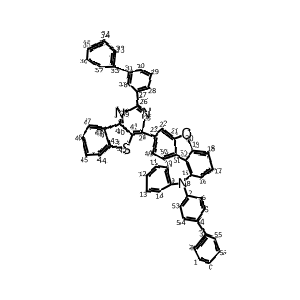 c1ccc(-c2ccc(N(c3ccccc3)c3cccc4oc5cc(-c6nc(-c7cccc(-c8ccccc8)c7)nc7c6sc6ccccc67)ccc5c34)cc2)cc1